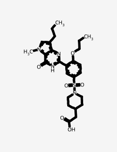 CCCOc1ccc(S(=O)(=O)N2CCC(CC(=O)O)CC2)cc1-c1nc2c(CCC)cn(C)c2c(=O)[nH]1